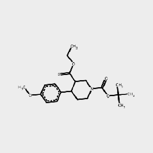 CCOC(=O)C1CN(C(=O)OC(C)(C)C)CCC1c1ccc(OC)cc1